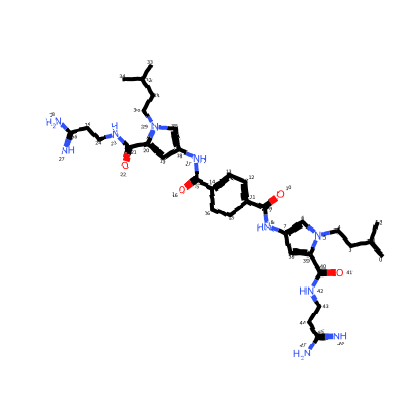 CC(C)CCn1cc(NC(=O)C2=CC=C(C(=O)Nc3cc(C(=O)NCCC(=N)N)n(CCC(C)C)c3)CC2)cc1C(=O)NCCC(=N)N